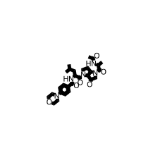 CC(=O)NC(C)C(=O)N1CC(=O)C2C1CCN2C(=O)C(CC(C)C)NC(=O)c1ccc(N2CCOCC2)cc1